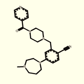 CN1CCCN(c2ccc(C#N)c(CN3CCN(C(=O)c4ccncc4)CC3)c2)CC1